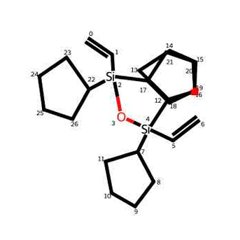 C=C[Si](O[Si](C=C)(C1CCCC1)C1CCCC1)(C1CCCC1)C1CCCC1